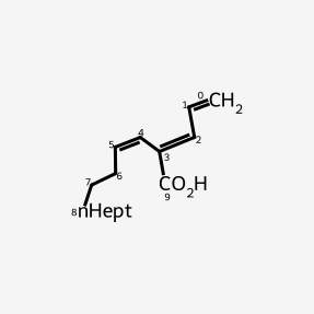 C=C/C=C(\C=C/CCCCCCCCC)C(=O)O